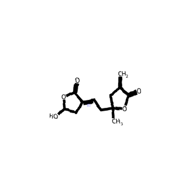 C=C1CC(C)(C/C=C2\CC(O)OC2=O)OC1=O